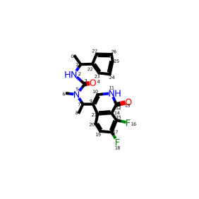 CC(NC(=O)N(C)C(C)c1c[nH]c(=O)c2c(F)c(F)ccc12)c1ccccc1